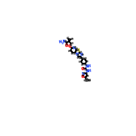 CC(C)(C)c1cc(NC(=O)Nc2ccc(-c3cn4c(n3)sc3nc(OCC5(C(N)=O)CC5)ccc34)cc2)no1